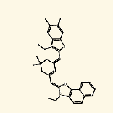 CCN1/C(=C/C2=CC(=C/c3sc4cc(C)c(C)cc4[n+]3CC)/CC(C)(C)C2)Oc2c1ccc1ccccc21